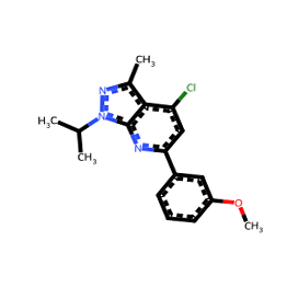 COc1cccc(-c2cc(Cl)c3c(C)nn(C(C)C)c3n2)c1